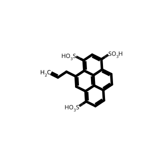 C=CCc1cc2c(S(=O)(=O)O)ccc3ccc4c(S(=O)(=O)O)cc(S(=O)(=O)O)c1c4c32